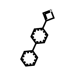 C1=NCC=1c1ccc(-c2ccccc2)cc1